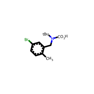 Cc1ccc(Br)cc1CN(C(=O)O)C(C)(C)C